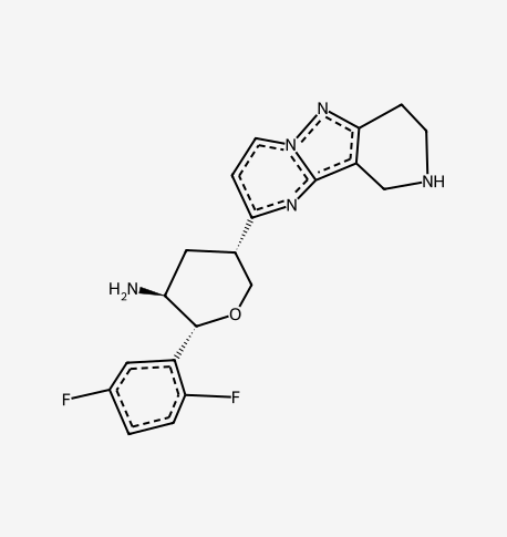 N[C@H]1C[C@H](c2ccn3nc4c(c3n2)CNCC4)CO[C@@H]1c1cc(F)ccc1F